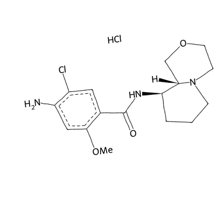 COc1cc(N)c(Cl)cc1C(=O)N[C@@H]1CCCN2CCOC[C@@H]12.Cl